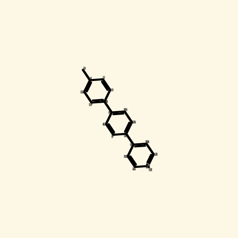 Cc1ccc(-c2ccc(-c3ccncc3)cc2)cc1